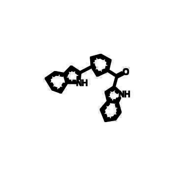 O=C(c1cccc(-c2cc3ccccc3[nH]2)c1)c1cc2ccccc2[nH]1